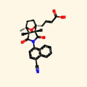 C[C@]12CC[C@](C/C=C/C(=O)O)(O1)[C@@H]1C(=O)N(c3ccc(C#N)c4ccccc34)C(=O)[C@@H]12